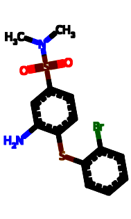 CN(C)S(=O)(=O)c1ccc(Sc2ccccc2Br)c(N)c1